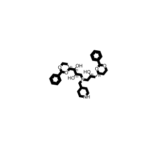 O[C@H](C[C@H]1CCOC(c2ccccc2)O1)CN(CC1CCNCC1)C[C@H](O)[C@@H](O)[C@H]1CCOC(c2ccccc2)O1